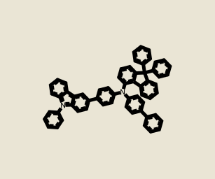 c1ccc(-c2ccc(N(c3ccc(-c4ccc5c(c4)c4ccccc4n5-c4ccccc4)cc3)c3cccc4c3-c3ccccc3C4(c3ccccc3)c3ccccc3)cc2)cc1